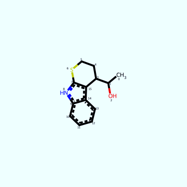 CC(O)C1CCSc2[nH]c3ccccc3c21